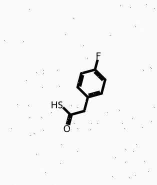 O=C(S)Cc1ccc(F)cc1